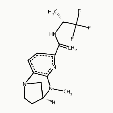 C=C(N[C@H](C)C(F)(F)F)c1ccc2c(n1)N(C)[C@H]1CCN2C1